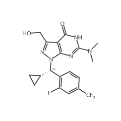 CN(C)c1nc2c(c(CO)nn2[C@H](c2ccc(C(F)(F)F)cc2F)C2CC2)c(=O)[nH]1